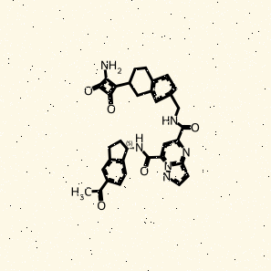 CC(=O)c1ccc2c(c1)CC[C@@H]2NC(=O)c1cc(C(=O)NCc2ccc3c(c2)CC(c2c(N)c(=O)c2=O)CC3)nc2ccnn12